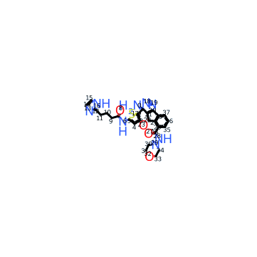 NC1(c2ccc(NC(=O)CCCc3ncc[nH]3)s2)N=NC2=C1C(=O)c1c(C(=O)NN3CCOCC3)cccc12